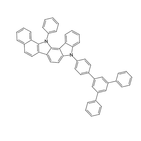 c1ccc(-c2cc(-c3ccccc3)cc(-c3ccc(-n4c5ccccc5c5c4ccc4c6ccc7ccccc7c6n(-c6ccccc6)c45)cc3)c2)cc1